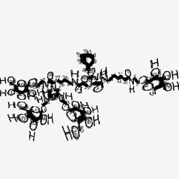 C[C@@H]1O[C@@H](OCCNC(=O)CCCCCNC(=O)[C@H](CCC(=O)NCCCC[C@@H](C(=O)NCCO[C@H]2O[C@H](CO)[C@@H](O)[C@H](O)[C@@H]2O)N(CC(=O)NCCO[C@H]2O[C@H](CO)[C@@H](O)[C@H](O)[C@@H]2O)CC(=O)NCCO[C@H]2O[C@H](CO)[C@@H](O)[C@H](O)[C@@H]2O)NC(=O)OCc2ccccc2)[C@@H](O)[C@H](O)[C@@H]1O